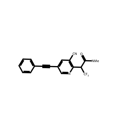 CNC(=O)C(c1ncc(C#Cc2ccccc2)cc1C#N)C(F)(F)F